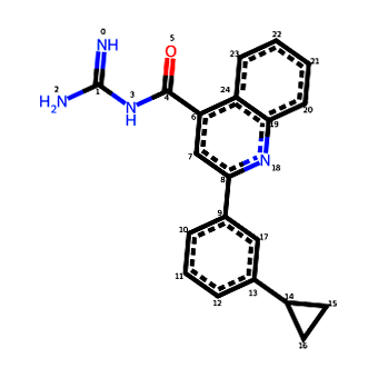 N=C(N)NC(=O)c1cc(-c2cccc(C3CC3)c2)nc2ccccc12